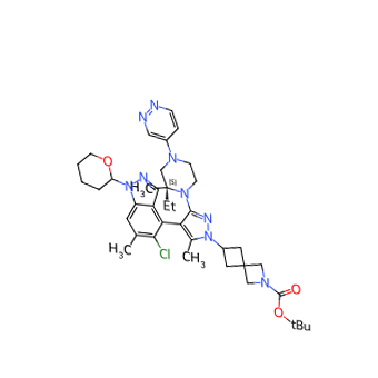 CC[C@@]1(C)CN(c2ccnnc2)CCN1c1nn(C2CC3(C2)CN(C(=O)OC(C)(C)C)C3)c(C)c1-c1c(Cl)c(C)cc2c1cnn2C1CCCCO1